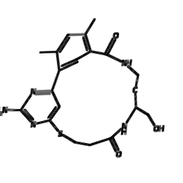 Cc1cc(C)c2cc1C(=O)NCCC(CO)NC(=O)CCSc1cc-2nc(N)n1